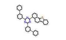 c1ccc(-c2cccc(-c3nc(-c4cccc(-c5ccccc5)c4)nc(-c4cccc5c4ccc4c6ccccc6sc54)n3)c2)cc1